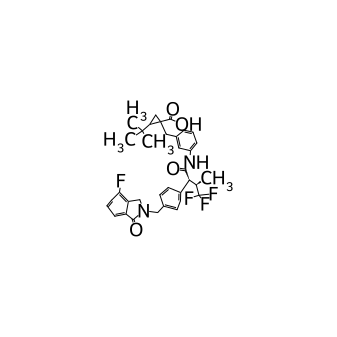 C[C@H]([C@H](C(=O)Nc1cccc(CC2(C(=O)O)CC2C(C)(C)C)c1)c1ccc(CN2Cc3c(F)cccc3C2=O)cc1)C(F)(F)F